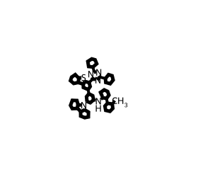 Cc1ccccc1-c1ccccc1Nc1cc(-c2cc(-c3nc(-c4ccccc4)nc(-c4ccccc4)n3)c3sc4ccccc4c3c2)cc(-n2c3ccccc3c3ccccc32)c1